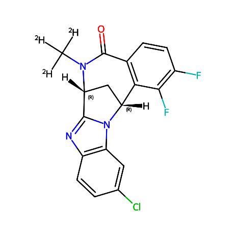 [2H]C([2H])([2H])N1C(=O)c2ccc(F)c(F)c2[C@H]2C[C@@H]1c1nc3ccc(Cl)cc3n12